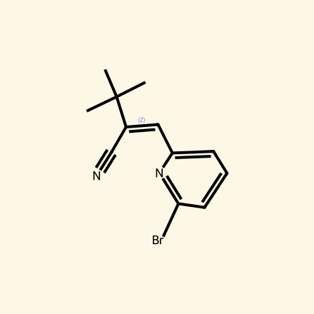 CC(C)(C)/C(C#N)=C/c1cccc(Br)n1